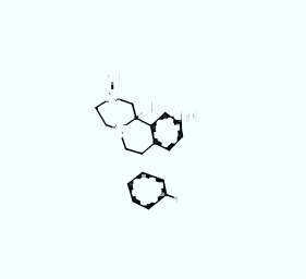 CN1CCN2C[C@@H](c3cccc(Cl)c3)c3ccccc3[C@H]2C1.Cl.Cl